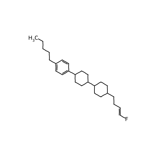 CCCCCc1ccc(C2CCC(C3CCC(CCC=CF)CC3)CC2)cc1